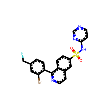 O=S(=O)(Nc1ccncn1)c1ccc2c(-c3ccc(CF)cc3Br)nccc2c1